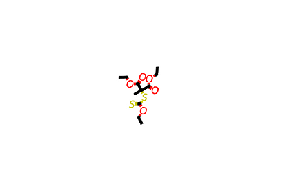 CCOC(=O)C(C)(SC(=S)OCC)C(=O)OCC